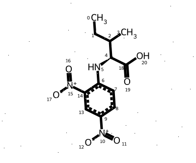 CCC(C)[C@H](Nc1ccc([N+](=O)[O-])cc1[N+](=O)[O-])C(=O)O